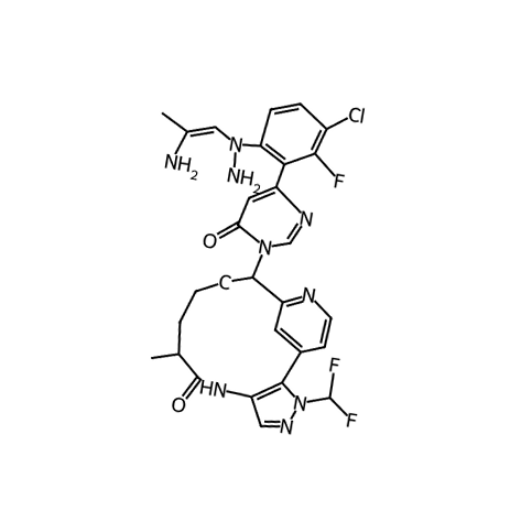 C/C(N)=C/N(N)c1ccc(Cl)c(F)c1-c1cc(=O)n(C2CCCC(C)C(=O)Nc3cnn(C(F)F)c3-c3ccnc2c3)cn1